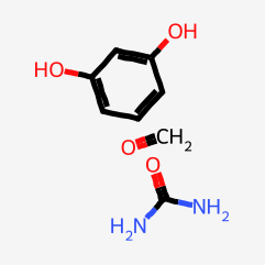 C=O.NC(N)=O.Oc1cccc(O)c1